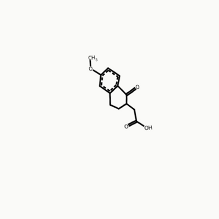 COc1ccc2c(c1)CCC(CC(=O)O)C2=O